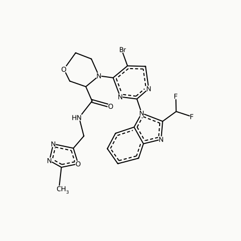 Cc1nnc(CNC(=O)C2COCCN2c2nc(-n3c(C(F)F)nc4ccccc43)ncc2Br)o1